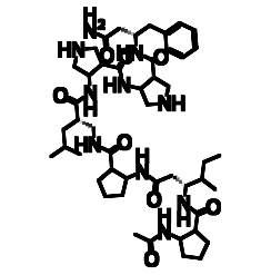 CCC(C)[C@@H](CC(=O)NC1CCCC1C(=O)NC[C@H](CC(C)C)C(=O)NC1CNCC1C(=O)NC1CNCC1C(=O)N[C@H](CC(N)=O)Cc1ccccc1)NC(=O)C1CCCC1NC(C)=O